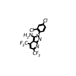 Nc1c2c(C(F)(F)F)cc(C(F)(F)F)nc2nn1-c1ccc(Cl)cc1Cl